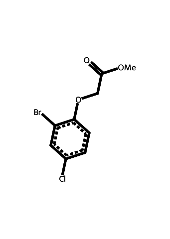 COC(=O)COc1ccc(Cl)cc1Br